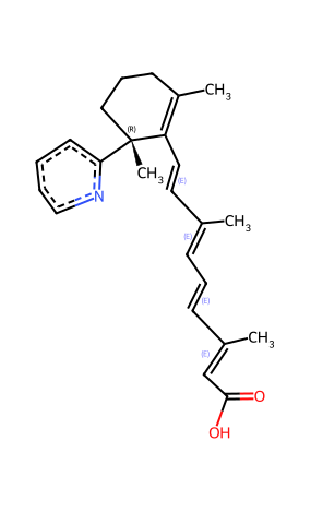 CC1=C(/C=C/C(C)=C/C=C/C(C)=C/C(=O)O)[C@](C)(c2ccccn2)CCC1